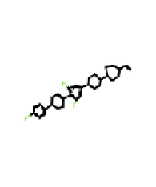 C=CC1CCC(C2CCC(c3cc(F)c(C4=CCC(c5ccc(F)cc5)CC4)c(F)c3)CC2)CC1